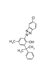 Cc1cc(-n2n3c4ccc(Cl)cc4n23)c(O)c(C(C)(C)c2ccccc2)c1